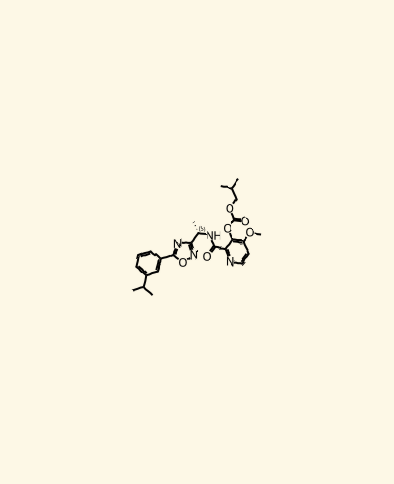 COc1ccnc(C(=O)N[C@@H](C)c2noc(-c3cccc(C(C)C)c3)n2)c1OC(=O)OCC(C)C